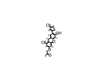 CC(=O)COc1cc(Cl)c(Cc2ccc(O)c(-c3cc(Cl)cs3)c2)c(Cl)c1